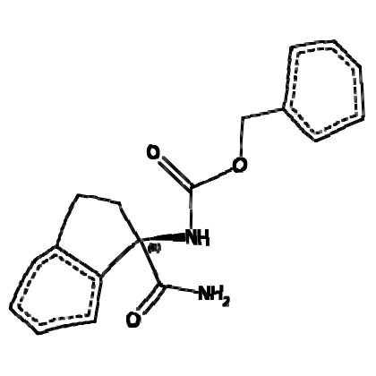 NC(=O)[C@@]1(NC(=O)OCc2ccccc2)CCc2ccccc21